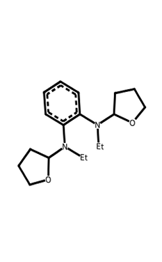 CCN(c1ccccc1N(CC)C1CCCO1)C1CCCO1